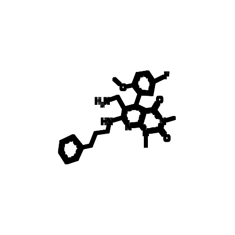 COc1ccc(F)cc1-c1c(CN)c(NCCCc2ccccc2)nc2c1c(=O)n(C)c(=O)n2C